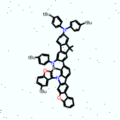 CC(C)(C)c1ccc(N2B3c4oc5ccc(C(C)(C)C)cc5c4-n4c5cc6oc7ccccc7c6cc5c5ccc(c3c54)-c3cc4c(cc32)-c2ccc(N(c3ccc(C(C)(C)C)cc3)c3ccc(C(C)(C)C)cc3)cc2C4(C)C)cc1